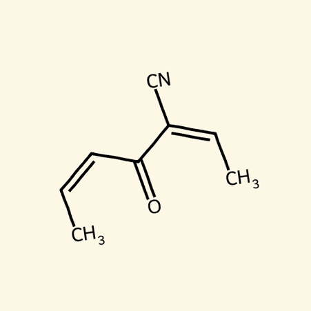 C/C=C\C(=O)/C(C#N)=C\C